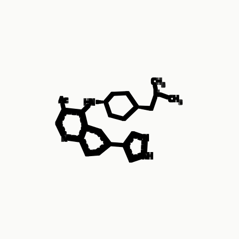 CC(=O)c1cnc2ccc(-c3cn[nH]c3)cc2c1N[C@H]1CC[C@H](CN(C)C)CC1